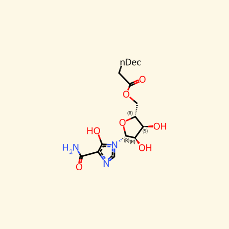 CCCCCCCCCCCC(=O)OC[C@H]1O[C@@H](n2cnc(C(N)=O)c2O)[C@H](O)[C@@H]1O